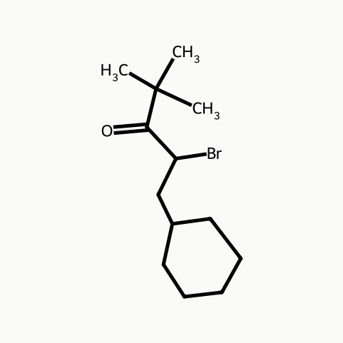 CC(C)(C)C(=O)C(Br)CC1CCCCC1